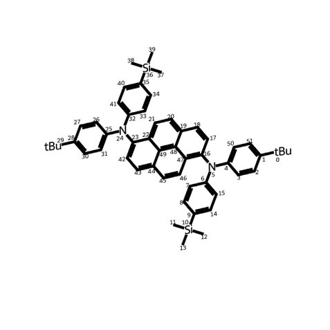 CC(C)(C)c1ccc(N(c2ccc([Si](C)(C)C)cc2)c2ccc3ccc4c(N(c5ccc(C(C)(C)C)cc5)c5ccc([Si](C)(C)C)cc5)ccc5ccc2c3c54)cc1